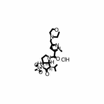 CC(C)[C@H]1C(=O)N(S(C)(=O)=O)[C@H]2CCN(C(=O)c3cc(CN4CCOCC4)nn3C)[C@H]12.Cl